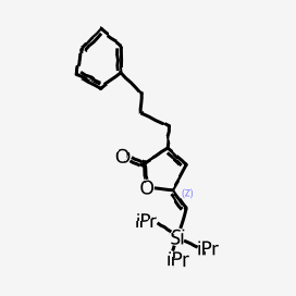 CC(C)[Si](/C=C1/C=C(CCCc2ccccc2)C(=O)O1)(C(C)C)C(C)C